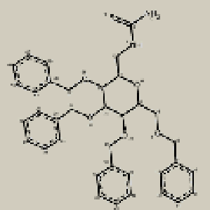 NC(=S)NC[C@H]1OC(COCc2ccccc2)[C@@H](OCc2ccccc2)C(OCc2ccccc2)C1OCc1ccccc1